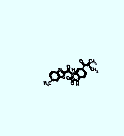 CN1CCc2nc(C(=O)N3[C@@H]4C[C@@H](C(=O)N(C)C)CCC4NS3(=O)=O)sc2C1